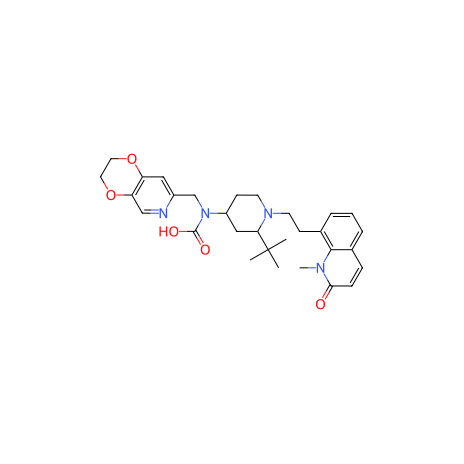 Cn1c(=O)ccc2cccc(CCN3CCC(N(Cc4cc5c(cn4)OCCO5)C(=O)O)CC3C(C)(C)C)c21